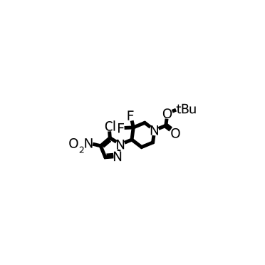 CC(C)(C)OC(=O)N1CCC(n2ncc([N+](=O)[O-])c2Cl)C(F)(F)C1